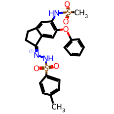 Cc1ccc(S(=O)(=O)N/N=C2/CCc3cc(NS(C)(=O)=O)c(Oc4ccccc4)cc32)cc1